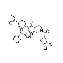 CNC(=O)c1ccc(-n2c(=O)c3c(n4ncc(Nc5ccccc5)c24)CN(C(=O)c2ccc(Cl)c(Cl)c2)CC3)cc1